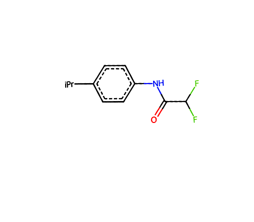 CC(C)c1ccc(NC(=O)C(F)F)cc1